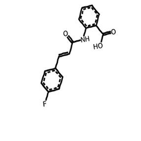 O=C(C=Cc1ccc(F)cc1)Nc1ccccc1C(=O)O